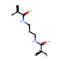 C=C(C)C(=O)NCCCNC(=O)C(=C)C